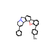 CC(C)(C)c1ccc(-c2cccc3c2OC2C4=C(C=CC32)CN2CCC(c3ccccc3)=CC42)cc1